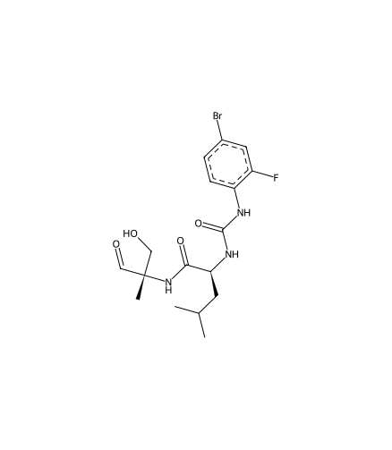 CC(C)C[C@H](NC(=O)Nc1ccc(Br)cc1F)C(=O)N[C@](C)(C=O)CO